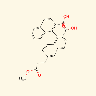 COC(=O)CCc1ccc2c(-c3c(C(=O)O)ccc4ccccc34)c(C(=O)O)ccc2c1